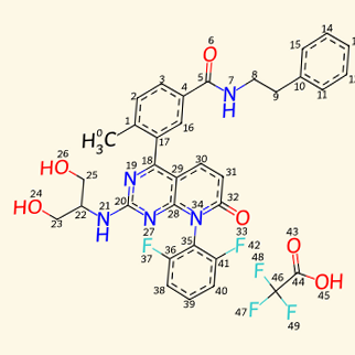 Cc1ccc(C(=O)NCCc2ccccc2)cc1-c1nc(NC(CO)CO)nc2c1ccc(=O)n2-c1c(F)cccc1F.O=C(O)C(F)(F)F